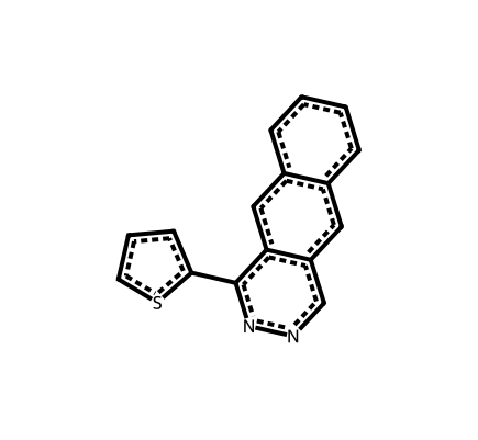 c1csc(-c2nncc3cc4ccccc4cc23)c1